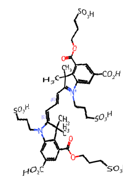 CC1(C)C(/C=C/C=C2/N(CCCS(=O)(=O)O)c3cc(C(=O)O)cc(C(=O)OCCCS(=O)(=O)O)c3C2(C)C)=[N+](CCCS(=O)(=O)O)c2cc(C(=O)O)cc(C(=O)OCCCS(=O)(=O)O)c21